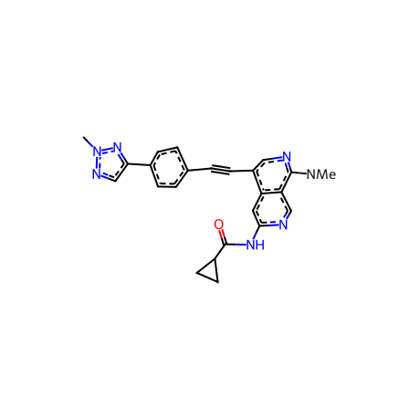 CNc1ncc(C#Cc2ccc(-c3cnn(C)n3)cc2)c2cc(NC(=O)C3CC3)ncc12